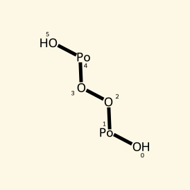 [OH][Po][O][O][Po][OH]